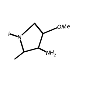 COC1CN(I)C(C)C1N